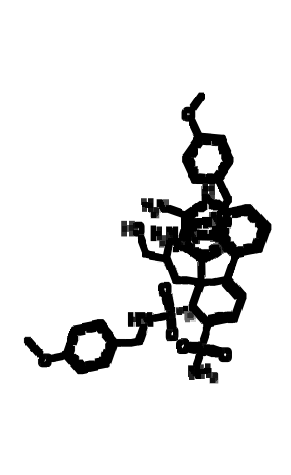 COc1ccc(CNS(=O)(=O)[C@H]2C(S(N)(=O)=O)=CC=C(c3cccc4[nH]c(N)nc34)C2(CC(N)CO)c2nnn(Cc3ccc(OC)cc3)n2)cc1